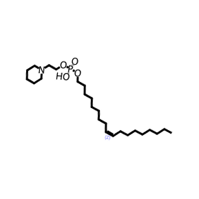 CCCCCCCC/C=C\CCCCCCCCOP(=O)(O)OCCN1CCCCC1